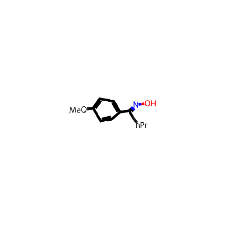 CCCC(=NO)c1ccc(OC)cc1